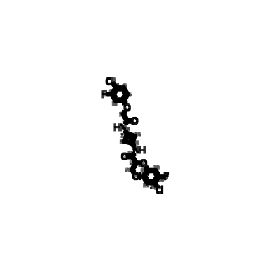 O=C(COc1ccc(Cl)c(F)c1)NC12CC(NC(=O)C(CO)Oc3ccc(Cl)c(F)c3)(C1)C2